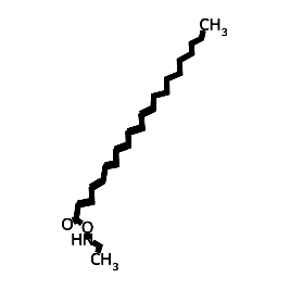 CCCCCCCCCC=CC=CC=CC=CC=CC=CC(=O)ONCC